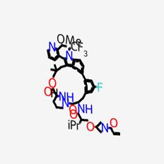 C=CC(=O)N1CC(OCC(C(=O)N[C@H]2Cc3cc(F)cc(c3)-c3ccc4c(c3)c(c(-c3cccnc3[C@H](C)OC)n4CC(F)(F)F)CC(C)(C)COC(=O)[C@@H]3CCCN(N3)C2=O)C(C)C)C1